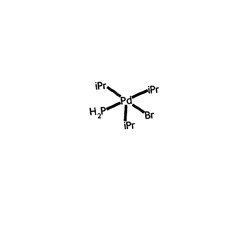 C[CH](C)[Pd]([PH2])([Br])([CH](C)C)[CH](C)C